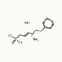 Cl.N[C@H](C=CCP(=O)(O)O)CCc1ccccc1